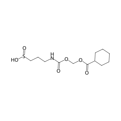 O=C(NCCCS(=O)O)OCOC(=O)C1CCCCC1